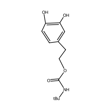 CC(C)(C)NC(=O)OCCc1ccc(O)c(O)c1